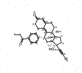 CCC(=O)c1ccc([C@H]2C[C@@]3(C)[C@@H](CC[C@@]3(O)C#CBr)[C@@H]3CCC4=CC(=O)CCC4=C32)cc1